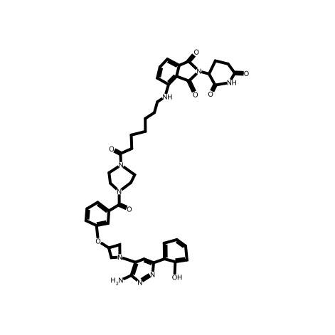 Nc1nnc(-c2ccccc2O)cc1N1CC(Oc2cccc(C(=O)N3CCN(C(=O)CCCCCCNc4cccc5c4C(=O)N(C4CCC(=O)NC4=O)C5=O)CC3)c2)C1